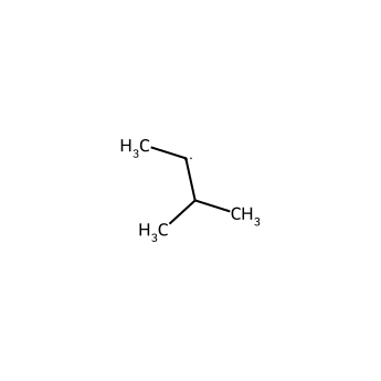 C[CH]C(C)C